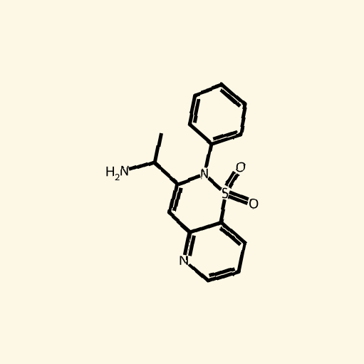 CC(N)C1=Cc2ncccc2S(=O)(=O)N1c1ccccc1